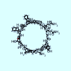 CCCC[C@H]1C(=O)N(C)[C@@H](C)C(=O)N[C@@H](CCCNC(=N)N)C(=O)NC(C(=O)NCC(N)=O)CSCC(=O)N[C@@H](Cc2ccc(O)cc2)C(=O)N(C)[C@@H](C)C(=O)N[C@@H](CC(N)=O)C(=O)N2CCC[C@H]2C(=O)N[C@@H](CC(N)=O)C(=O)N[C@@H](CC(C)C)C(=O)N2C[C@H](O)C[C@H]2C(=O)N[C@@H](Cc2c[nH]c3ccccc23)C(=O)N[C@@H](CO)C(=O)N[C@@H](Cc2c[nH]c3ccccc23)C(=O)N1C